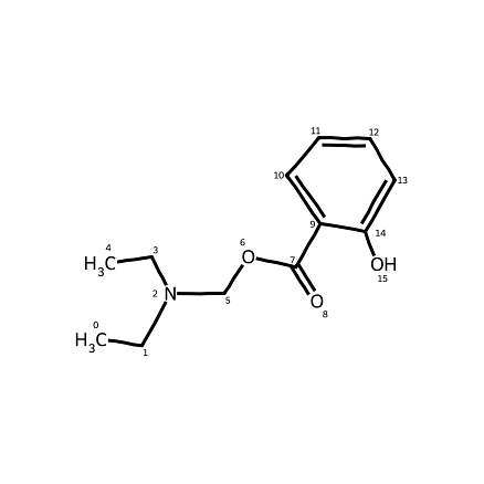 CCN(CC)COC(=O)c1ccccc1O